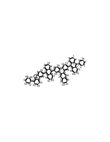 c1ccc(-c2c3ccccc3c(-c3cccc(-c4cc5ccccc5cc4-c4cccc(-c5c6ccccc6c(-c6ccc7oc8c(-c9ccccc9)cccc8c7c6)c6ccccc56)c4)c3)c3ccccc23)cc1